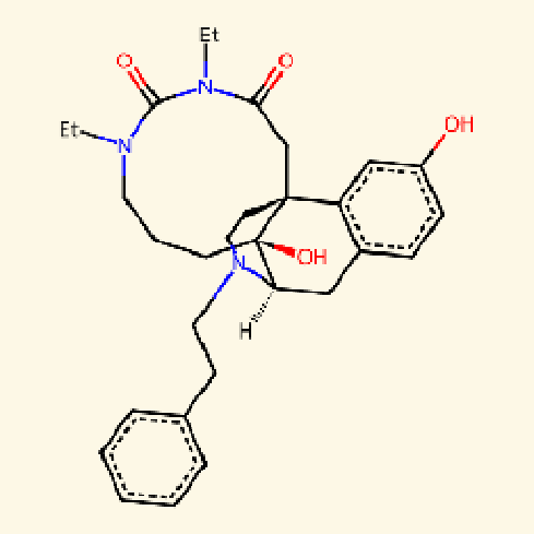 CCN1CCC[C@@]2(O)[C@H]3Cc4ccc(O)cc4[C@@]2(CCN3CCc2ccccc2)CC(=O)N(CC)C1=O